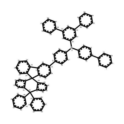 c1ccc(-c2ccc(N(c3ccc(-c4ccc5c(c4)-c4ccccc4C54c5ccccc5C(c5ccccc5)(c5ccccc5)c5ccccc54)cc3)c3cc(-c4ccccc4)cc(-c4ccccc4)c3)cc2)cc1